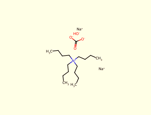 CCCC[N+](CCCC)(CCCC)CCCC.O=C([O-])[O-].[Na+].[Na+].[OH-]